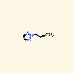 C=C[CH]n1nccn1